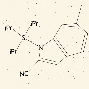 Cc1ccc2cc(C#N)n(S(C(C)C)(C(C)C)C(C)C)c2c1